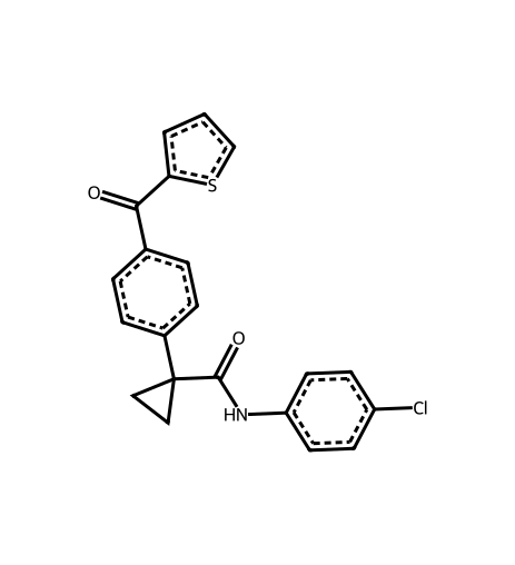 O=C(c1ccc(C2(C(=O)Nc3ccc(Cl)cc3)CC2)cc1)c1cccs1